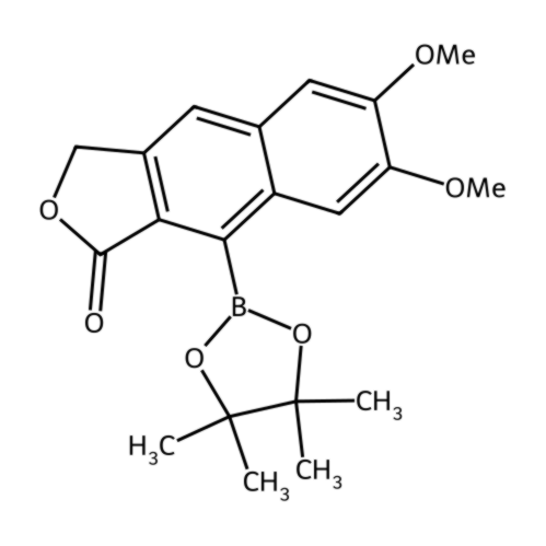 COc1cc2cc3c(c(B4OC(C)(C)C(C)(C)O4)c2cc1OC)C(=O)OC3